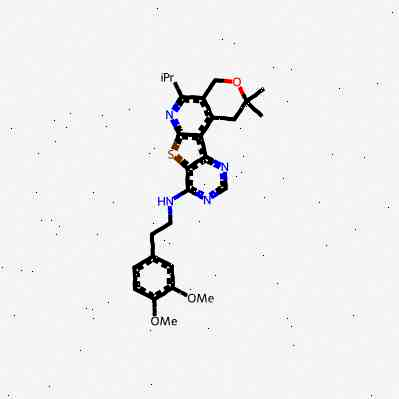 COc1ccc(CCNc2ncnc3c2sc2nc(C(C)C)c4c(c23)CC(C)(C)OC4)cc1OC